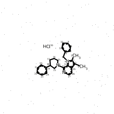 Cc1c(C)n(Cc2ccccc2)c2c(N3CCCC(c4ccccc4)C3)nccc12.Cl